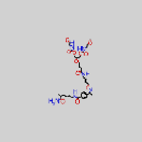 COCCNC(=O)OCC(COC(=O)NCCOC)OCCCC(=O)NCCCCO/N=C(/C)c1ccc(C(=O)NCCCC[C@H](C)C(N)=O)cc1